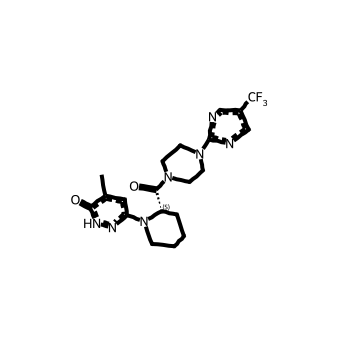 Cc1cc(N2CCCC[C@H]2C(=O)N2CCN(c3ncc(C(F)(F)F)cn3)CC2)n[nH]c1=O